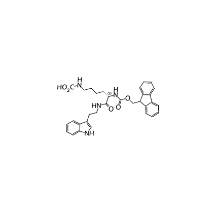 O=C(O)NCCCC[C@H](NC(=O)OCC1c2ccccc2-c2ccccc21)C(=O)NCCc1c[nH]c2ccccc12